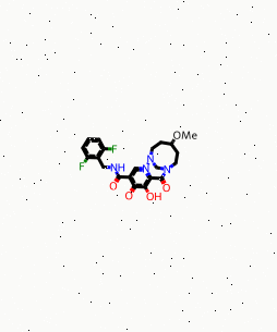 COC1CCN2CN(CC1)n1cc(C(=O)NCc3c(F)cccc3F)c(=O)c(O)c1C2=O